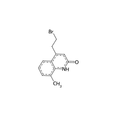 Cc1cccc2c(CCBr)cc(=O)[nH]c12